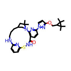 CC1(C)CC2CCCNc3cccc(n3)SNC(=O)c3ccc(-n4ccc(OCC5C(C)(C)C5(C)C)n4)nc3N1C2